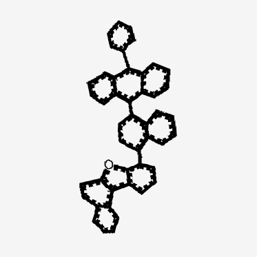 c1ccc(-c2c3ccccc3c(-c3ccc(-c4cccc5c4oc4ccc6ccccc6c45)c4ccccc34)c3ccccc23)cc1